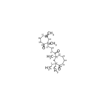 CCC1(C)CC(C)(C(=O)CCCC2(C)CN(C)CCCC2=O)CCCCC1=O